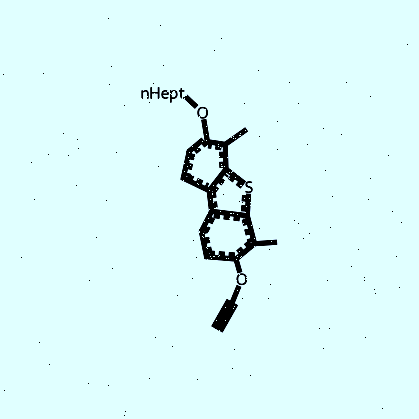 C#COc1ccc2c(sc3c(C)c(OCCCCCCC)ccc32)c1C